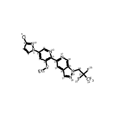 CCSc1cc(-n2ccc(Cl)n2)cnc1-c1cc2cnn(CC(F)(F)C(F)(F)F)c2cn1